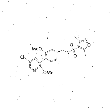 COc1cc(CNS(=O)(=O)c2c(C)noc2C)ccc1-c1cc(Cl)cnc1OC